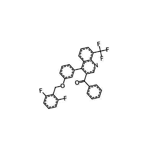 O=C(c1ccccc1)c1cnc2c(C(F)(F)F)cccc2c1-c1cccc(OCc2c(F)cccc2F)c1